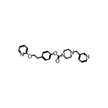 O=C(Oc1ccc(CCOc2ccccn2)cc1)N1CCN(Cc2cccnc2)CC1